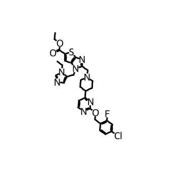 CCOC(=O)c1cc2c(nc(CN3CCC(c4ccnc(OCc5ccc(Cl)cc5F)n4)CC3)n2Cc2cncn2CC)s1